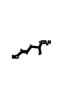 CC(CC=CC#N)C(=O)O